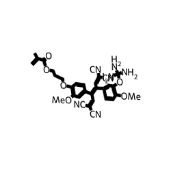 C=C(C)C(=O)OCCCOc1ccc(/C(C=C(C#N)C#N)=C(\C=C(C#N)C#N)c2ccc(OC)c(OC(N)(N)N)c2)cc1OC